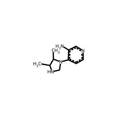 CC1NCN(c2ccncc2N)C1C